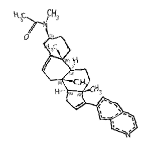 CC(=O)N(C)[C@H]1CC[C@@]2(C)C(=CC[C@]3(C)[C@@H]2CC[C@]2(C)C(c4ccc5ccncc5c4)=CC[C@@H]32)C1